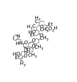 CCC(C(=O)[C@@H](C)[C@@H](O)[C@H](C)[C@@H]1O[C@@H]([C@@H](CC)C(=O)O)CC[C@@H]1C)[C@H]1O[C@]2(C=C[C@@H](NCC(=O)NCc3ccccn3)[C@]3(CC[C@@](C)([C@H]4CC[C@](O)(CC)[C@H](C)O4)O3)O2)[C@H](C)C[C@@H]1C